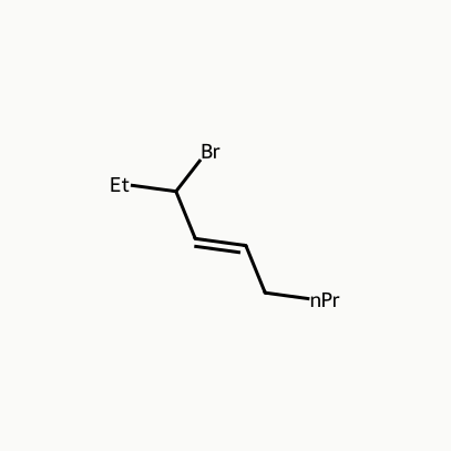 CCCCC=CC(Br)CC